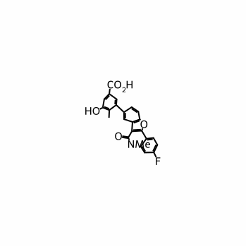 CNC(=O)c1c(-c2ccc(F)cc2)oc2ccc(-c3cc(C(=O)O)cc(O)c3C)cc12